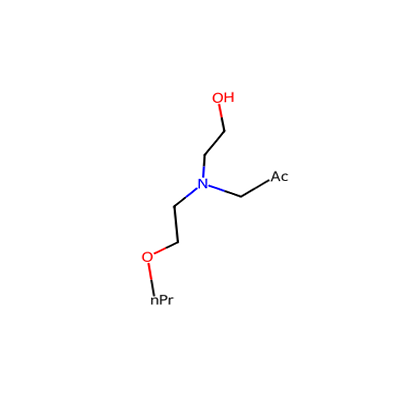 CCCOCCN(CCO)CC(C)=O